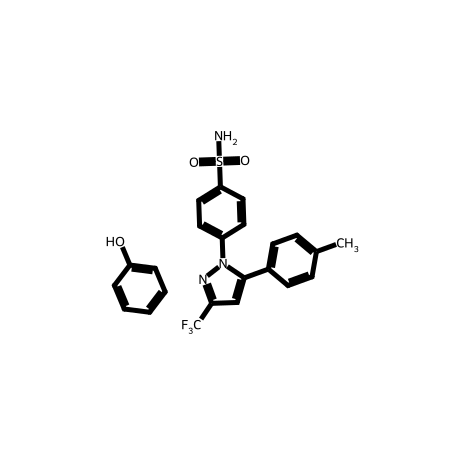 Cc1ccc(-c2cc(C(F)(F)F)nn2-c2ccc(S(N)(=O)=O)cc2)cc1.Oc1ccccc1